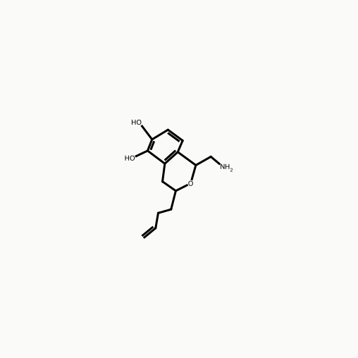 C=CCCC1Cc2c(ccc(O)c2O)C(CN)O1